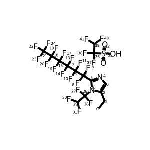 CCc1cnc(C(F)(F)C(F)(F)C(F)(F)C(F)(F)C(F)(F)C(F)(F)F)n1C(F)(F)C(F)F.O=S(=O)(O)C(F)(F)C(F)F